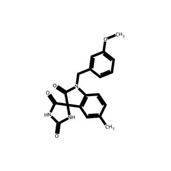 COc1cccc(CN2C(=O)C3(NC(=O)NC3=O)c3cc(C)ccc32)c1